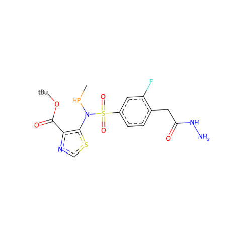 CPN(c1scnc1C(=O)OC(C)(C)C)S(=O)(=O)c1ccc(CC(=O)NN)c(F)c1